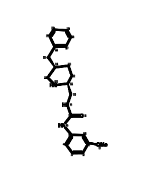 COc1cccc(NC(=O)NC[C@@H]2CC[C@H](Cc3ccccc3)CN2)c1